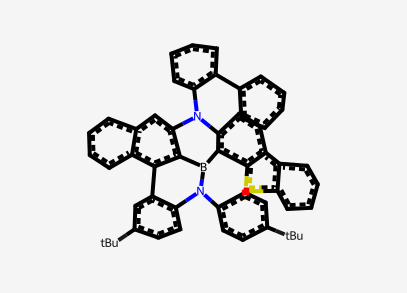 CC(C)(C)c1ccc(N2B3c4c(cc5ccccc5c4-c4cc(C(C)(C)C)ccc42)N(c2ccccc2-c2ccccc2)c2ccc4c(sc5ccccc54)c23)cc1